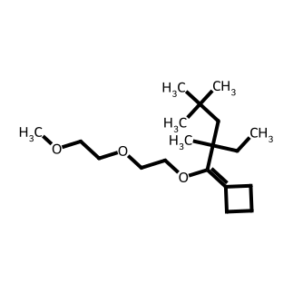 CCC(C)(CC(C)(C)C)C(OCCOCCOC)=C1CCC1